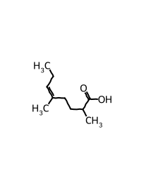 CCC=C(C)CCC(C)C(=O)O